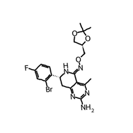 Cc1nc(N)nc2c1/C(=N/OC[C@H]1COC(C)(C)O1)N[C@@H](c1ccc(F)cc1Br)C2